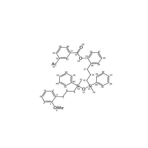 COc1ccccc1CCC[Si](C)(O[Si](C)(CCCc1ccccc1OC(=O)c1cccc(C(C)=O)c1)c1ccccc1)c1ccccc1